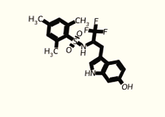 Cc1cc(C)c(S(=O)(=O)NC(Cc2c[nH]c3cc(O)ccc23)C(F)(F)F)c(C)c1